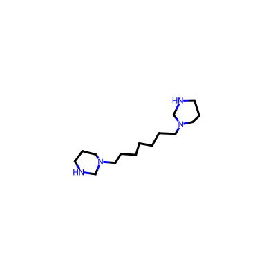 C(CCCN1CCCNC1)CCCN1CCCNC1